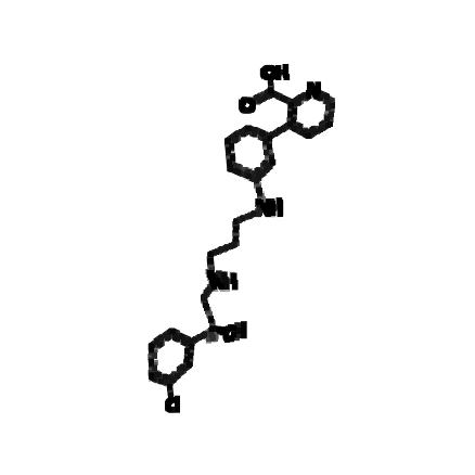 O=C(O)c1ncccc1-c1cccc(NCCCNC[C@@H](O)c2cccc(Cl)c2)c1